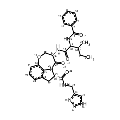 CC[C@H](C)[C@H](NC(=O)c1ccccc1)C(=O)N[C@H]1COc2cccc3c2N(C1=O)[C@H](C(=O)NCc1c[nH]nn1)C3